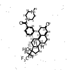 CN1CCN(C(=O)c2ccc([C@H]3C[C@@]4(C)[C@@H](CC[C@]4(O)C(F)(F)C(F)(F)F)[C@@H]4CCC5=CC(=O)CCC5=C43)cc2)CC1